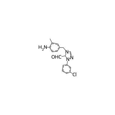 Cc1cc(CN2C=NN(c3cccc(Cl)c3)C2C=O)ccc1N